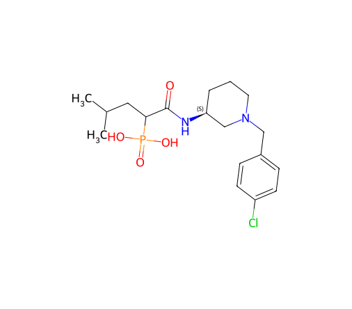 CC(C)CC(C(=O)N[C@H]1CCCN(Cc2ccc(Cl)cc2)C1)P(=O)(O)O